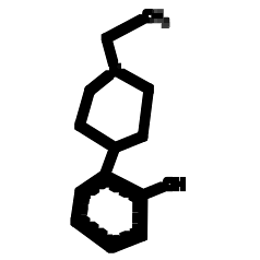 CCN1CCC(c2ccccc2O)CC1